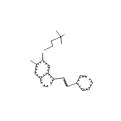 CC(C)(O)CCNc1cc2c(/C=C/c3cccnc3)n[nH]c2cc1F